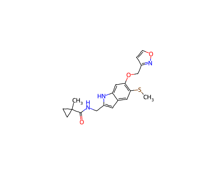 CSc1cc2cc(CNC(=O)C3(C)CC3)[nH]c2cc1OCc1ccon1